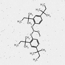 CCC(C)(C)c1ccc(OP(OF)Oc2ccc(C(C)(C)CC)cc2C(C)(C)CC)c(C(C)(C)CC)c1